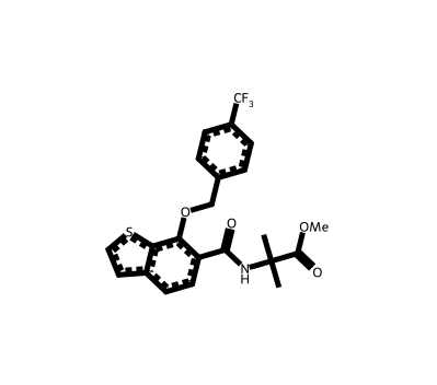 COC(=O)C(C)(C)NC(=O)c1ccc2ccsc2c1OCc1ccc(C(F)(F)F)cc1